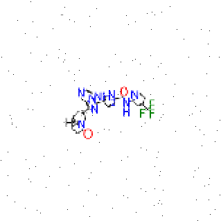 N[N+]12C=CN=CC1=C([C@@H]1CC[C@H]3CCC(=O)N3C1)N=C2c1ccc(C(=O)Nc2cc(C(F)(F)F)ccn2)nc1